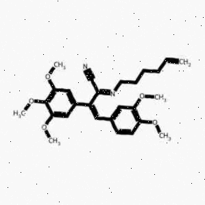 C=CCCCCN=C(C#N)C(=Cc1ccc(OC)c(OC)c1)c1cc(OC)c(OC)c(OC)c1